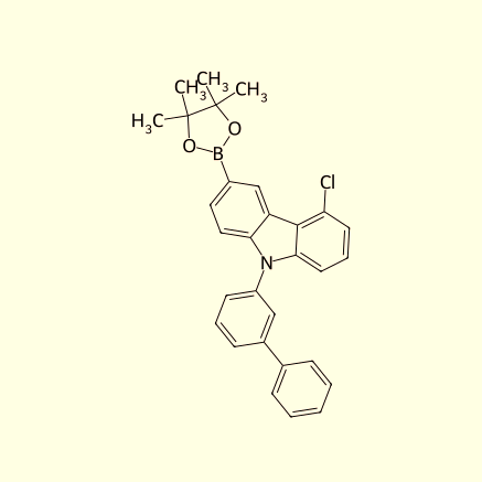 CC1(C)OB(c2ccc3c(c2)c2c(Cl)cccc2n3-c2cccc(-c3ccccc3)c2)OC1(C)C